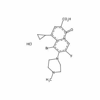 CN1CCN(c2c(F)cn3c(=O)c(C(=O)O)cc(C4CC4)c3c2Br)CC1.Cl